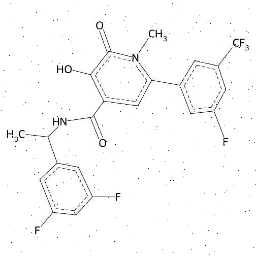 CC(NC(=O)c1cc(-c2cc(F)cc(C(F)(F)F)c2)n(C)c(=O)c1O)c1cc(F)cc(F)c1